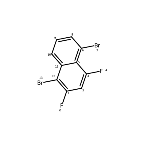 Fc1cc(F)c2c(Br)cccc2c1Br